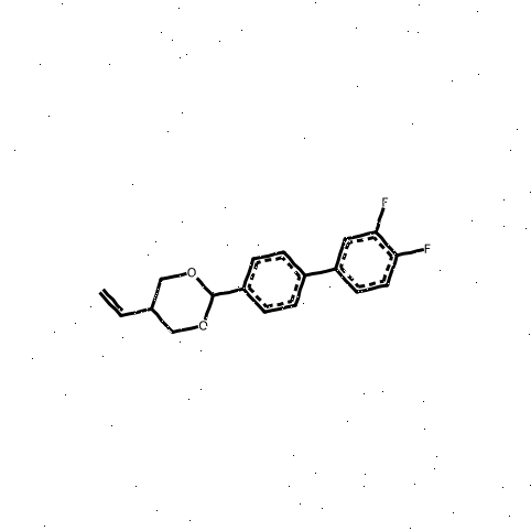 C=CC1COC(c2ccc(-c3ccc(F)c(F)c3)cc2)OC1